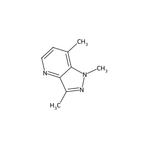 Cc1nn(C)c2c(C)ccnc12